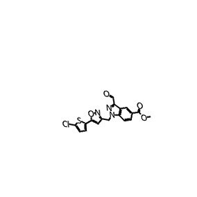 COC(=O)c1ccc2c(c1)c(C=O)nn2Cc1cc(-c2ccc(Cl)s2)on1